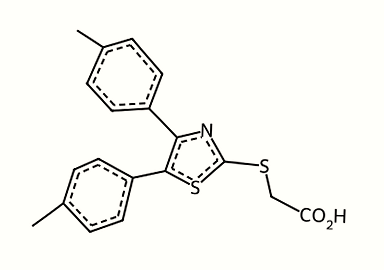 Cc1ccc(-c2nc(SCC(=O)O)sc2-c2ccc(C)cc2)cc1